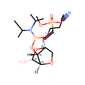 B[C@@H]1O[C@@]2(/C=C/P(=O)(OC)OC)CO[C@@H]1[C@@H]2OP(OCCC#N)N(C(C)C)C(C)C